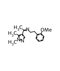 COc1ccccc1CCN=C(C)c1cnn(C)c1C